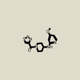 COc1ccnc(NC2CCN(C(=O)c3csnn3)CC2)c1